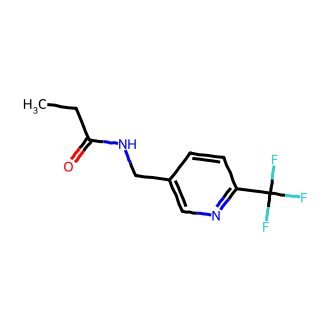 CCC(=O)NCc1ccc(C(F)(F)F)nc1